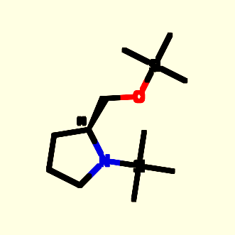 C[Si](C)(C)OC[C@@H]1CCCN1[Si](C)(C)C